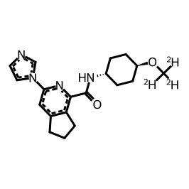 [2H]C([2H])([2H])O[C@H]1CC[C@H](NC(=O)c2nc(-n3ccnc3)cc3c2CCC3)CC1